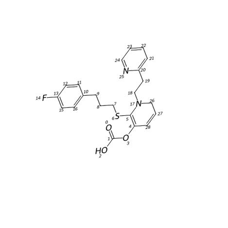 O=C(O)OC1=C(SCCCc2ccc(F)cc2)N(CCc2ccccn2)CC=C1